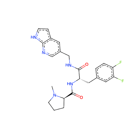 CN1CCC[C@@H]1C(=O)N[C@@H](Cc1ccc(F)c(F)c1)C(=O)NCc1cnc2[nH]ccc2c1